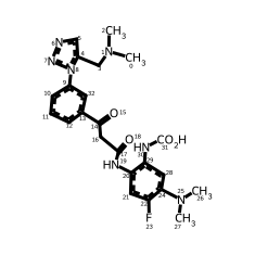 CN(C)Cc1cnnn1-c1cccc(C(=O)CC(=O)Nc2cc(F)c(N(C)C)cc2NC(=O)O)c1